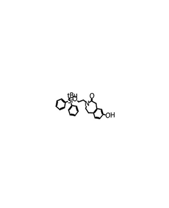 CC(C)(C)[Si](OCCN1CCc2ccc(O)cc2CC1=O)(c1ccccc1)c1ccccc1